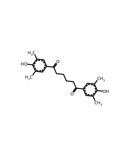 Cc1cc(C(=O)CCCCC(=O)c2cc(C)c(O)c(C)c2)cc(C)c1O